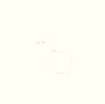 CC(=S)N1CCCCC1